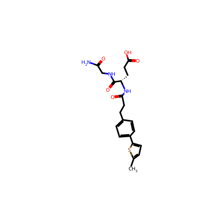 Cc1ccc(-c2ccc(CCC(=O)N[C@@H](CCC(=O)O)C(=O)NCC(N)=O)cc2)s1